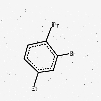 CCc1ccc(C(C)C)c(Br)c1